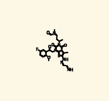 COc1ccc(F)cc1C(=O)Cn1c(=O)n(C(C)CCN(C)C=O)c(=O)c2c(C)c(N/N=C\C=N)sc21